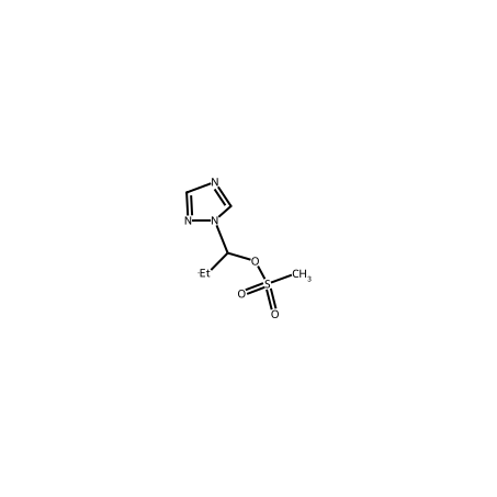 C[CH]C(OS(C)(=O)=O)n1cncn1